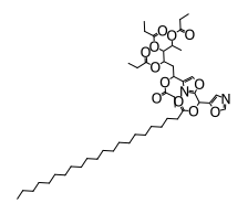 CCCCCCCCCCCCCCCCCCCCCC(=O)OC(c1cnco1)c1nc(C(CC(OC(=O)CC)C(OC(=O)CC)C(C)OC(=O)CC)OC(=O)CC)co1